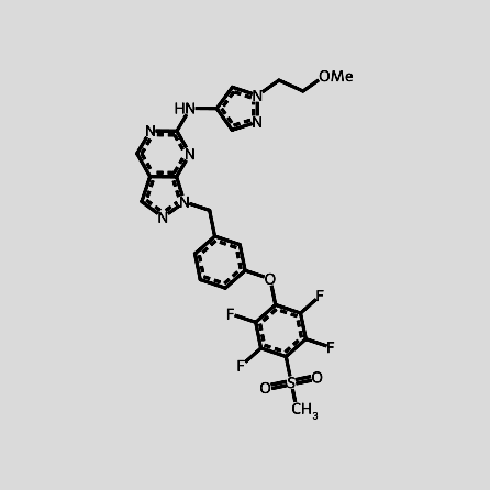 COCCn1cc(Nc2ncc3cnn(Cc4cccc(Oc5c(F)c(F)c(S(C)(=O)=O)c(F)c5F)c4)c3n2)cn1